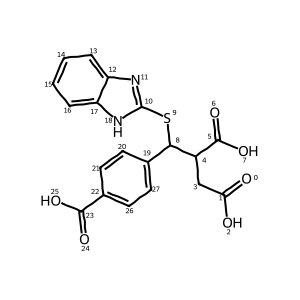 O=C(O)CC(C(=O)O)C(Sc1nc2ccccc2[nH]1)c1ccc(C(=O)O)cc1